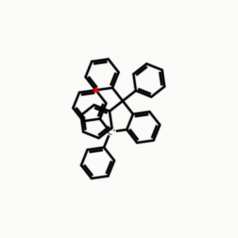 c1ccc([C+](c2ccccc2)c2ccccc2C(c2ccccc2)(c2ccccc2)c2ccccc2)cc1